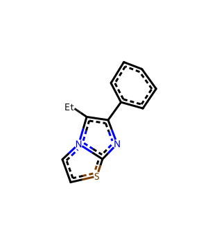 CCc1c(-c2ccccc2)nc2sccn12